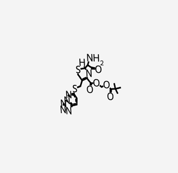 CC(C)(C)C(=O)OCOC(=O)C1=C(CSc2ccc3nnnn3n2)CS[C@@H]2C(N)C(=O)N12